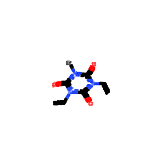 C=Cn1c(=O)n(C=C)c(=O)n(CC)c1=O